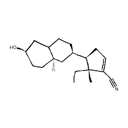 CC[C@@]1(C)C(C#N)=CC[C@@H]1[C@@H]1CCC2C[C@H](O)CC[C@@H]2C1